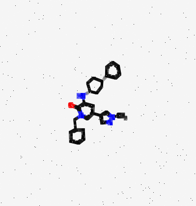 Cn1cc(-c2cc(N[C@H]3CC[C@@H](c4ccccc4)CC3)c(=O)n(Cc3ccccc3)c2)cn1